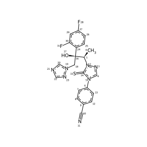 C[C@@H](n1ncn(-c2ccc(C#N)cc2)c1=S)[C@](O)(Cn1cncn1)c1ccc(F)cc1F